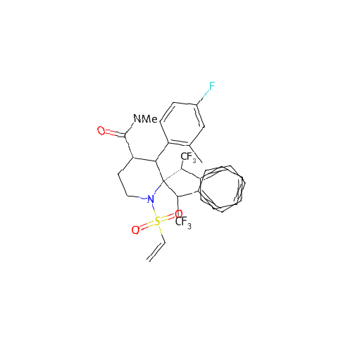 C=CS(=O)(=O)N1CCC(C(=O)NC)C(c2ccc(F)cc2C)C1(C(c1ccccc1)C(F)(F)F)C(c1ccccc1)C(F)(F)F